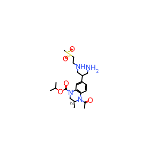 CC(=O)N1c2ccc(C(CN)CNCCS(C)(=O)=O)cc2N(C(=O)OC(C)C)C[C@@H]1C